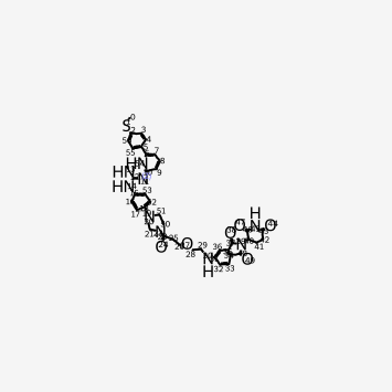 CSc1ccc(-c2ccc/c(=N/C(=N)Nc3ccc(N4CCN(C(=O)CCOCCNc5ccc6c(c5)C(=O)N(C5CCC(=O)NC5=O)C6=O)CC4)cc3)[nH]2)cc1